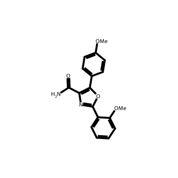 COc1ccc(-c2oc(-c3ccccc3OC)nc2C(N)=O)cc1